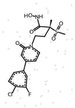 C[C@@](CCn1ccc(-c2ccc(Cl)c(F)c2)cc1=O)(C(=O)NO)S(C)(=O)=O